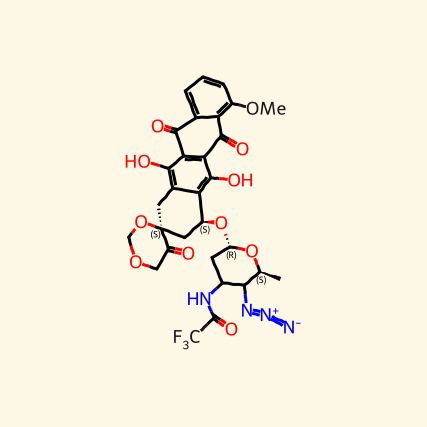 COc1cccc2c1C(=O)c1c(O)c3c(c(O)c1C2=O)C[C@@]1(C[C@@H]3O[C@H]2CC(NC(=O)C(F)(F)F)C(N=[N+]=[N-])[C@H](C)O2)OCOCC1=O